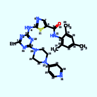 CCc1nc(Nc2ncc(C(=O)Nc3c(C)cc(C)cc3C)s2)nc(N2CCN(c3ccncc3)CC2)n1